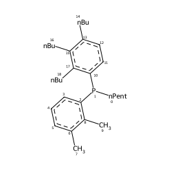 CCCCCP(c1cccc(C)c1C)c1ccc(CCCC)c(CCCC)c1CCCC